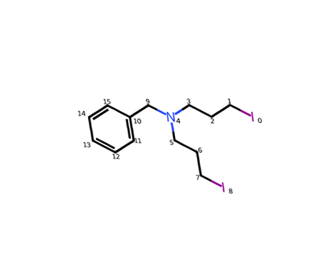 ICCCN(CCCI)Cc1ccccc1